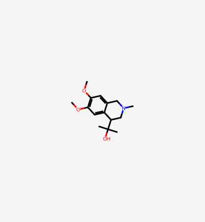 COc1cc2c(cc1OC)C(C(C)(C)O)CN(C)C2